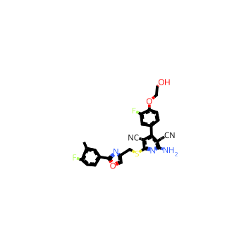 Cc1cc(-c2nc(CSc3nc(N)c(C#N)c(-c4ccc(OCCO)c(F)c4)c3C#N)co2)ccc1F